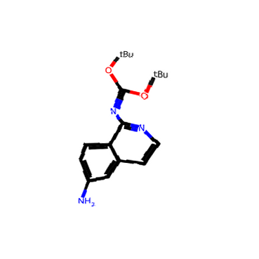 CC(C)(C)OC(=Nc1nccc2cc(N)ccc12)OC(C)(C)C